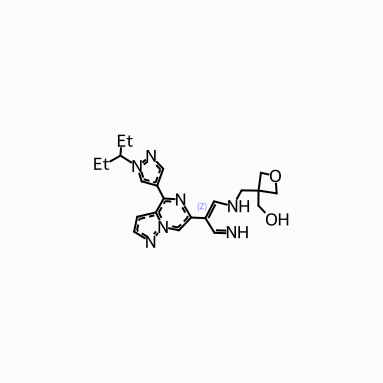 CCC(CC)n1cc(-c2nc(/C(C=N)=C/NCC3(CO)COC3)cn3nccc23)cn1